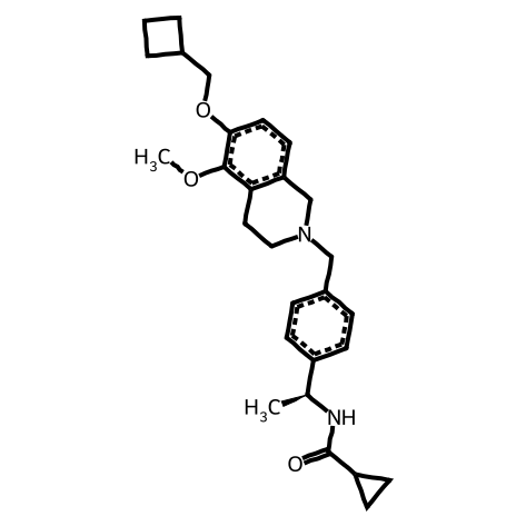 COc1c(OCC2CCC2)ccc2c1CCN(Cc1ccc([C@H](C)NC(=O)C3CC3)cc1)C2